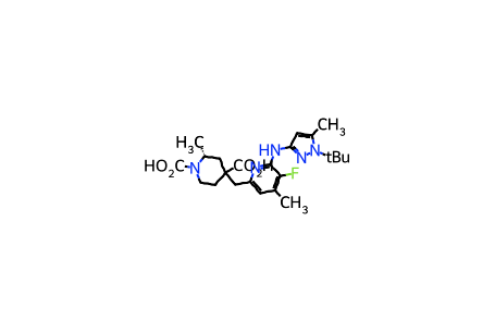 Cc1cc(CC2(C(=O)O)CCN(C(=O)O)[C@H](C)C2)nc(Nc2cc(C)n(C(C)(C)C)n2)c1F